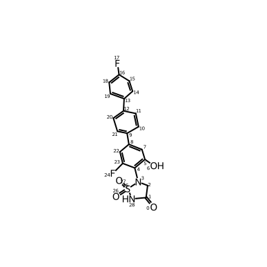 O=C1CN(c2c(O)cc(-c3ccc(-c4ccc(F)cc4)cc3)cc2F)S(=O)(=O)N1